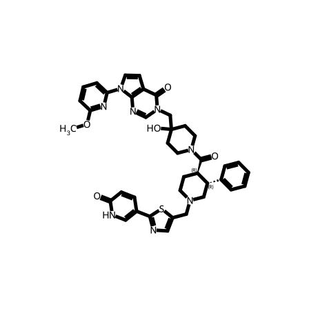 COc1cccc(-n2ccc3c(=O)n(CC4(O)CCN(C(=O)[C@@H]5CCN(Cc6cnc(-c7ccc(=O)[nH]c7)s6)C[C@H]5c5ccccc5)CC4)cnc32)n1